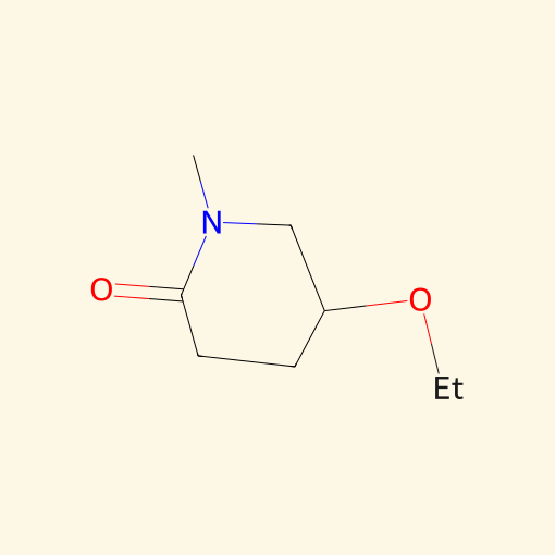 CCOC1CCC(=O)N(C)C1